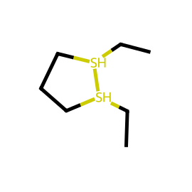 CC[SH]1CCC[SH]1CC